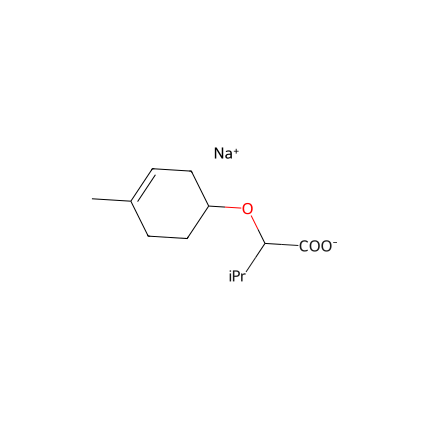 CC1=CCC(OC(C(=O)[O-])C(C)C)CC1.[Na+]